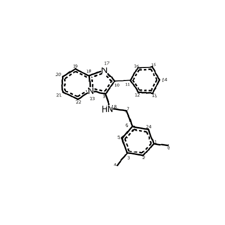 Cc1cc(C)cc(CNc2c(-c3ccccc3)nc3ccccn23)c1